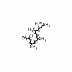 CC(=CCC(C)C[C]=O)CCCC(C)CCCC(C)CCCC(C)C